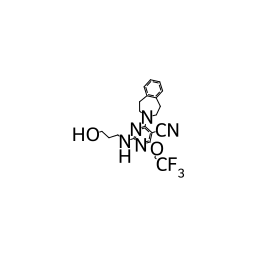 N#Cc1c(OCC(F)(F)F)nc(NCCCO)nc1N1CCc2ccccc2CC1